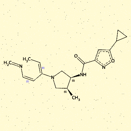 C=N/C=C\C(=C/C)N1C[C@H](C)[C@H](NC(=O)c2cc(C3CC3)on2)C1